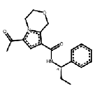 CC[C@@H](NC(=O)c1cc(C(C)=O)n2c1COCC2)c1ccccc1